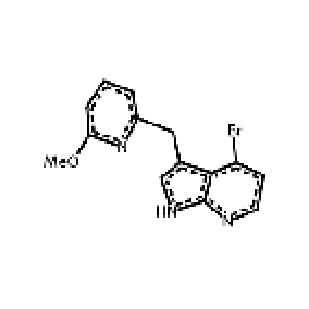 COc1cccc(Cc2c[nH]c3nccc(Br)c23)n1